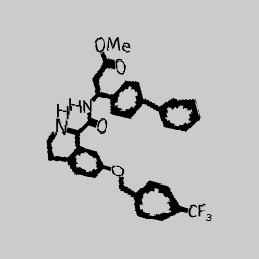 COC(=O)CC(NC(=O)C1NCCc2ccc(OCc3ccc(C(F)(F)F)cc3)cc21)c1ccc(-c2ccccc2)cc1